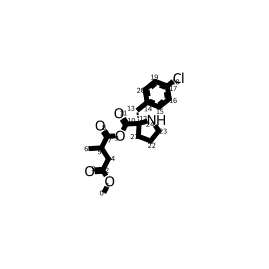 COC(=O)CC(C)C(=O)OC(=O)[C@]1(Cc2ccc(Cl)cc2)CCCN1